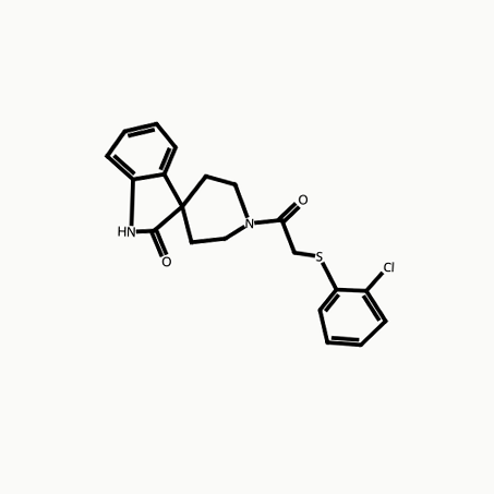 O=C(CSc1ccccc1Cl)N1CCC2(CC1)C(=O)Nc1ccccc12